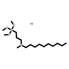 CCCCCCCCCCN(C)CCC[Si](OC)(OC)OC.I